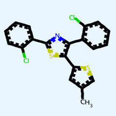 Cc1csc(-c2sc(-c3ccccc3Cl)nc2-c2ccccc2Cl)c1